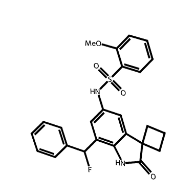 COc1ccccc1S(=O)(=O)Nc1cc(C(F)c2ccccc2)c2c(c1)C1(CCC1)C(=O)N2